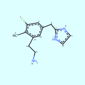 N#Cc1c(F)cc(Cc2ncc[nH]2)cc1CCN